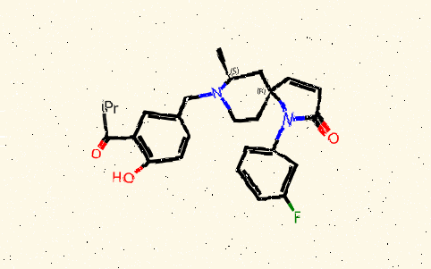 CC(C)C(=O)c1cc(CN2CC[C@]3(C=CC(=O)N3c3cccc(F)c3)C[C@@H]2C)ccc1O